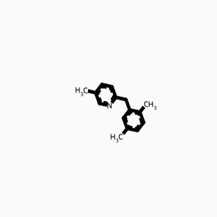 Cc1ccc(Cc2cc(C)ccc2C)nc1